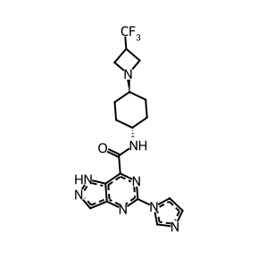 O=C(N[C@H]1CC[C@H](N2CC(C(F)(F)F)C2)CC1)c1nc(-n2ccnc2)nc2cn[nH]c12